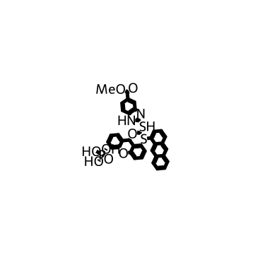 COC(=O)c1ccc2[nH]c([SH]=C(OC3c4ccccc4Oc4ccccc43)Sc3cccc4cc5ccccc5cc34)nc2c1.O=P(O)(O)O